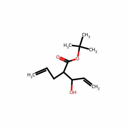 C=CCC(C(=O)OC(C)(C)C)C(O)C=C